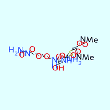 CNC(=O)OCC[C@H](CSC[C@H](N)C(=O)N[C@@H](CCO)C(=O)NCCOCCOCCC(=O)NCC(N)=O)OC(=O)NC